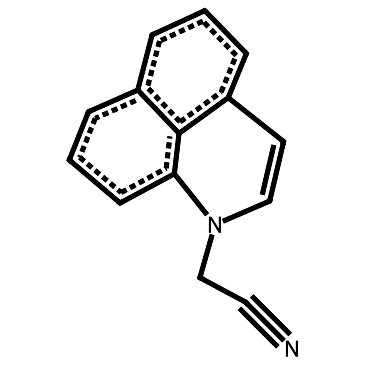 N#CCN1C=Cc2cccc3cccc1c23